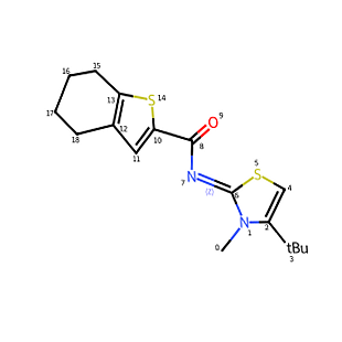 Cn1c(C(C)(C)C)cs/c1=N\C(=O)c1cc2c(s1)CCCC2